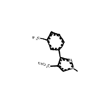 CCOC(=O)c1cn(C)nc1-c1cccc(C(F)(F)F)c1